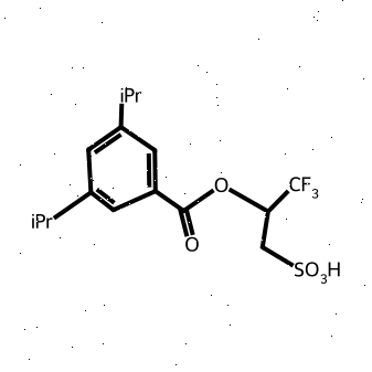 CC(C)c1cc(C(=O)OC(CS(=O)(=O)O)C(F)(F)F)cc(C(C)C)c1